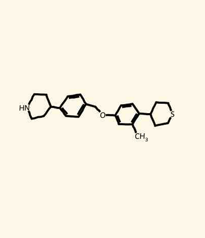 Cc1cc(OCc2ccc(C3CCNCC3)cc2)ccc1C1CCSCC1